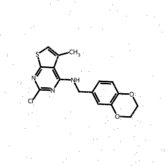 Cc1csc2nc(Cl)nc(NCc3ccc4c(c3)OCCO4)c12